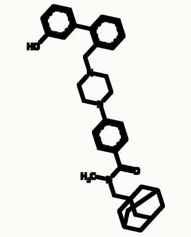 CN(CC12CC3CC(CC(C3)C1)C2)C(=O)c1ccc(N2CCN(Cc3ccccc3-c3cccc(O)c3)CC2)cc1